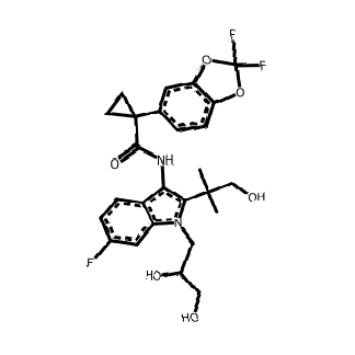 CC(C)(CO)c1c(NC(=O)C2(c3ccc4c(c3)OC(F)(F)O4)CC2)c2ccc(F)cc2n1CC(O)CO